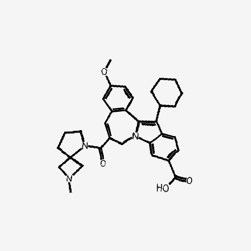 COc1ccc2c(c1)C=C(C(=O)N1CCCC13CN(C)C3)Cn1c-2c(C2CCCCC2)c2ccc(C(=O)O)cc21